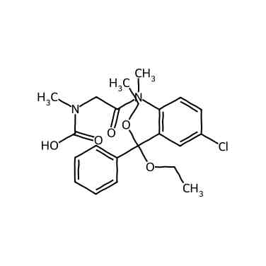 CCOC(OCC)(c1ccccc1)c1cc(Cl)ccc1N(C)C(=O)CN(C)C(=O)O